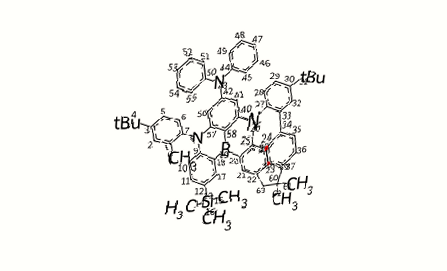 Cc1cc(C(C)(C)C)ccc1N1c2ccc([Si](C)(C)C)cc2B2c3cc4c(cc3N(c3ccc(C(C)(C)C)cc3-c3ccccc3)c3cc(N(c5ccccc5)c5ccccc5)cc1c32)CC(C)(C)C4